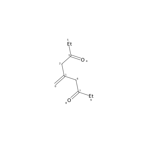 C=C(CC(=O)CC)CC(=O)CC